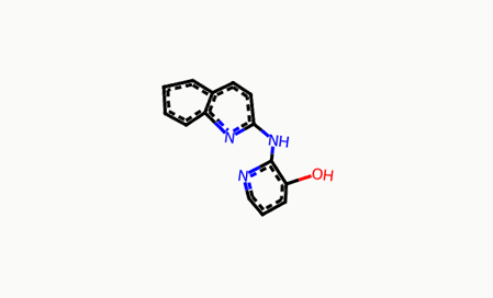 Oc1cccnc1Nc1ccc2ccccc2n1